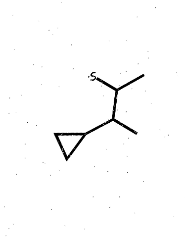 CC([S])C(C)C1CC1